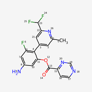 Cc1cc(-c2c(F)cc(N)cc2OC(=O)c2ccncn2)cc(C(F)F)n1